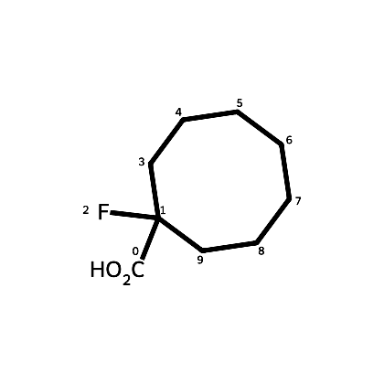 O=C(O)C1(F)CCCCCCC1